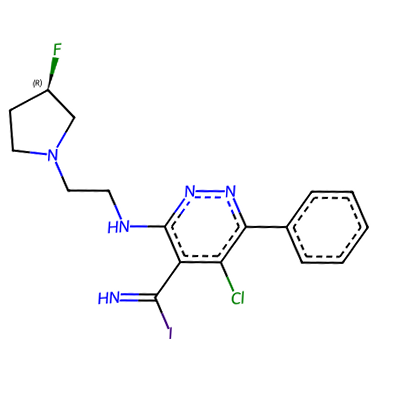 N=C(I)c1c(NCCN2CC[C@@H](F)C2)nnc(-c2ccccc2)c1Cl